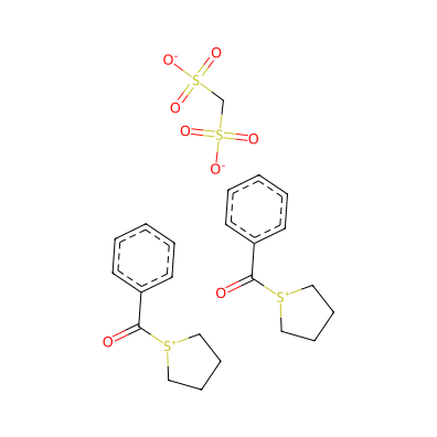 O=C(c1ccccc1)[S+]1CCCC1.O=C(c1ccccc1)[S+]1CCCC1.O=S(=O)([O-])CS(=O)(=O)[O-]